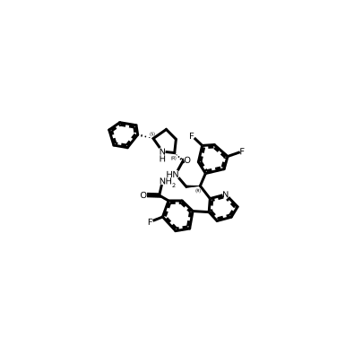 NC(=O)c1cc(-c2cccnc2[C@@H](CNC(=O)[C@H]2CC[C@@H](c3ccccc3)N2)c2cc(F)cc(F)c2)ccc1F